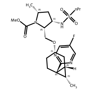 CCCS(=O)(=O)N[C@H]1C[C@@H](C)N(C(=O)OC)[C@H]1CO[C@H]1CC[C@]2(c3ncc(F)cn3)[C@H](C1)[C@@H]2C